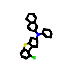 Clc1cccc2sc3cc(N(c4ccccc4)c4ccc5c(c4)C=CCC5)ccc3c12